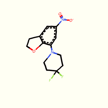 O=[N+]([O-])c1cc2c(c(N3CCC(F)(F)CC3)c1)OCC2